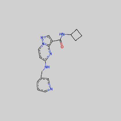 O=C(NC1CCC1)c1cnn2ccc(NCc3cccnc3)nc12